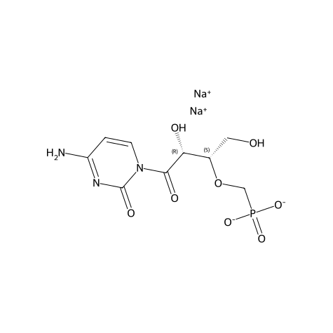 Nc1ccn(C(=O)[C@H](O)[C@H](CO)OCP(=O)([O-])[O-])c(=O)n1.[Na+].[Na+]